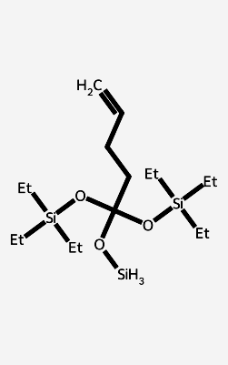 C=CCCC(O[SiH3])(O[Si](CC)(CC)CC)O[Si](CC)(CC)CC